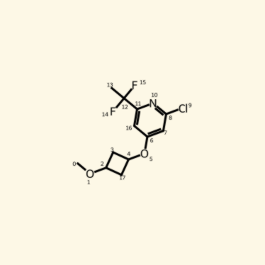 COC1CC(Oc2cc(Cl)nc(C(C)(F)F)c2)C1